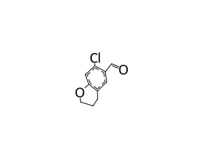 O=Cc1cc2c(cc1Cl)OCCC2